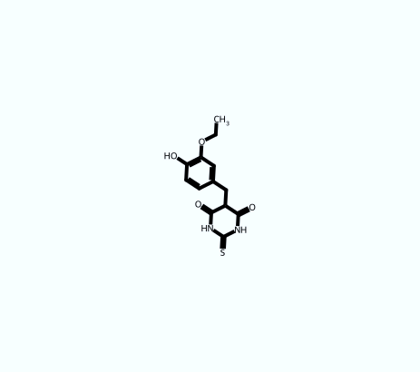 CCOc1cc(CC2C(=O)NC(=S)NC2=O)ccc1O